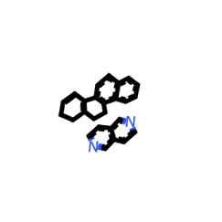 C1=CC2=C(CC1)CCc1c2ccc2ccccc12.c1cc2cnccc2cn1